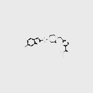 CC(C)NC(=O)c1csc(CN2CCN(S(=O)(=O)c3cc4ccc(Cl)cc4s3)CC2=O)n1